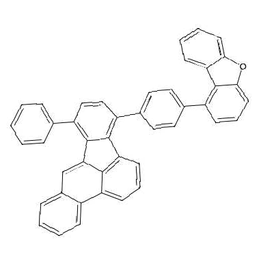 c1ccc(-c2ccc(-c3ccc(-c4cccc5oc6ccccc6c45)cc3)c3c2-c2cc4ccccc4c4cccc-3c24)cc1